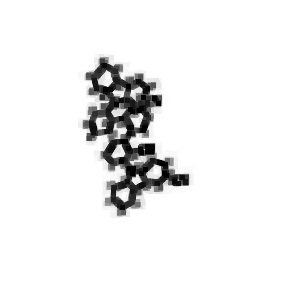 N#Cc1ccc(-c2cccc(-n3c4ccccc4c4cc(C#N)ccc43)c2C#N)c(-c2ccccc2-n2c3ccccc3c3ccccc32)c1